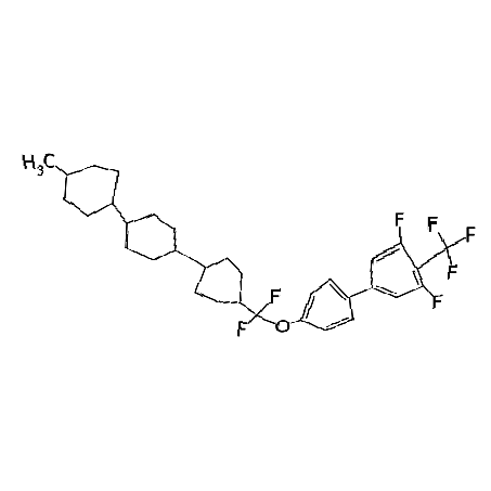 CC1CCC(C2CCC(C3CCC(C(F)(F)Oc4ccc(-c5cc(F)c(C(F)(F)F)c(F)c5)cc4)CC3)CC2)CC1